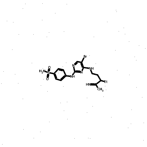 CCC(CCNc1nc(Nc2ccc(S(N)(=O)=O)cc2)ncc1Br)C(C)=N